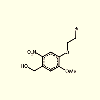 COc1cc(CO)c([N+](=O)[O-])cc1OCCBr